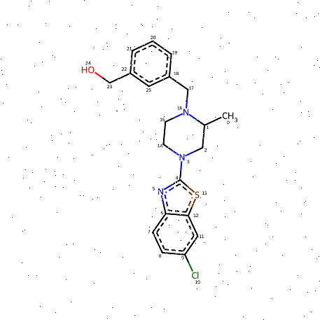 CC1CN(c2nc3ccc(Cl)cc3s2)CCN1Cc1cccc(CO)c1